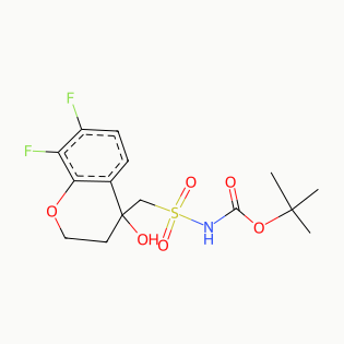 CC(C)(C)OC(=O)NS(=O)(=O)CC1(O)CCOc2c1ccc(F)c2F